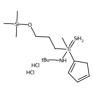 CC(C)(C)[NH][Ti]([CH3])(=[SiH2])([CH2]CCO[Si](C)(C)C)[C]1=CC=CC1.Cl.Cl